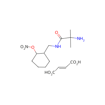 CC(C)(N)C(=O)NCC1CCCCC1O[N+](=O)[O-].O=C(O)C=CC(=O)O